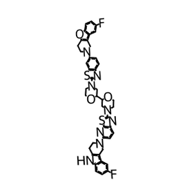 Fc1ccc2[nH]c3c(c2c1)CN(c1ccc2nc(N4CCOC(C5CN(c6nc7ccc(N8CCc9oc%10ccc(F)cc%10c9C8)cc7s6)CCO5)C4)sc2n1)CC3